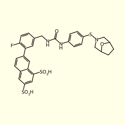 O=C(NCc1ccc(F)c(-c2ccc3cc(S(=O)(=O)O)cc(S(=O)(=O)O)c3c2)c1)Nc1ccc(SN2CC3CCC(C2)O3)cc1